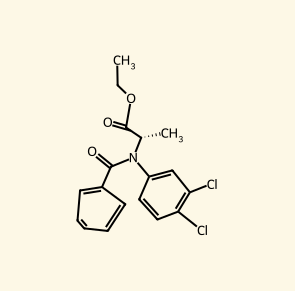 CCOC(=O)[C@H](C)N(C(=O)c1ccccc1)c1ccc(Cl)c(Cl)c1